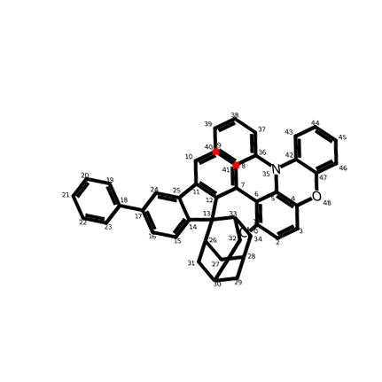 Clc1ccc2c(c1-c1cccc3c1C1(c4ccc(-c5ccccc5)cc4-3)C3CC4CC(C3)CC1C4)N(c1ccccc1)c1ccccc1O2